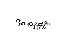 COc1c(NC(=O)Nc2ccc3[nH]c(-c4ccc(C(=O)c5ccccc5)cc4)nc3c2)ccc2c1C=CC(C)(C)O2